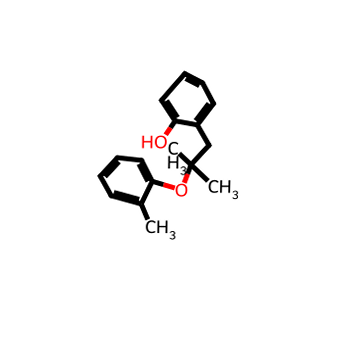 Cc1ccccc1OC(C)(C)Cc1ccccc1O